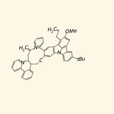 C=CCc1c(OC)cc2c3cc(C(C)(C)C)ccc3n3c4cc5c(cc4c1c23)-c1cccc[n+]1C(=C)CC1C(CC5)c2ccccc2-c2cccc[n+]21